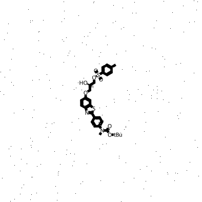 Cc1ccc(S(=O)(=O)OC[C@H](O)COc2ccc3nc(-c4ccc(N(C)C(=O)OC(C)(C)C)cc4)sc3c2)cc1